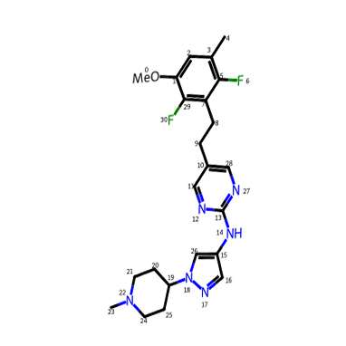 COc1cc(C)c(F)c(CCc2cnc(Nc3cnn(C4CCN(C)CC4)c3)nc2)c1F